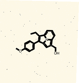 CCc1c(-c2ccc(OC)cc2)c2cc(CO)c3cccc1n32